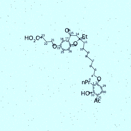 CCCc1c(OCCCCCCCCC2(CC)CC(=O)c3cc(OCCCC(=O)O)ccc3O2)ccc(C(C)=O)c1O